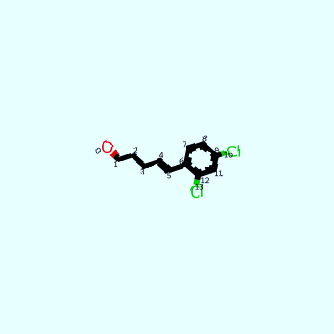 O=[C]CCC=Cc1ccc(Cl)cc1Cl